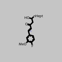 CCCCCCCC(O)CC(=O)/C=C/c1ccc(F)c(OC)c1